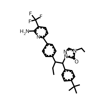 CCC(c1ccc(-c2ccc(C(F)(F)F)c(N)n2)cc1)C(c1ccc(C(C)(C)C)cc1)n1ncn(CC)c1=O